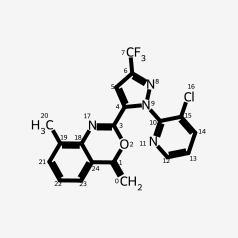 C=C1OC(c2cc(C(F)(F)F)nn2-c2ncccc2Cl)=Nc2c(C)cccc21